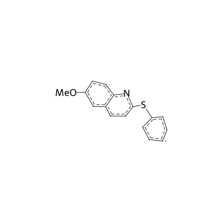 COc1ccc2nc(Sc3cc[c]cc3)ccc2c1